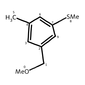 COCc1cc(C)cc(SC)c1